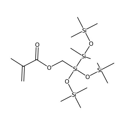 C=C(C)C(=O)OC[Si](O[Si](C)(C)C)(O[Si](C)(C)C)[Si](C)(C)O[Si](C)(C)C